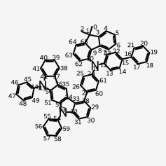 CC1(C)c2ccccc2-c2c(N(c3ccc(-c4ccccc4)cc3)c3ccc(-c4cccc5c4c4cc6c7ccccc7n(-c7ccccc7)c6cc4n5-c4ccccc4)cc3)cccc21